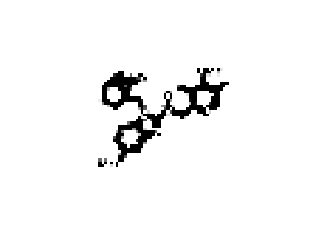 COc1ccc2c(c1)nc([S@@+]([O-])Cc1ncc(C)c(OC)c1C)n2CC12CCC(CC1=O)C2(C)C